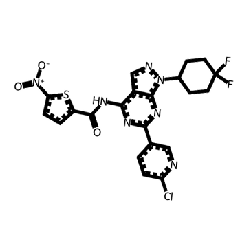 O=C(Nc1nc(-c2ccc(Cl)nc2)nc2c1cnn2C1CCC(F)(F)CC1)c1ccc([N+](=O)[O-])s1